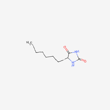 CCCCCCC1NC(=O)NC1=O